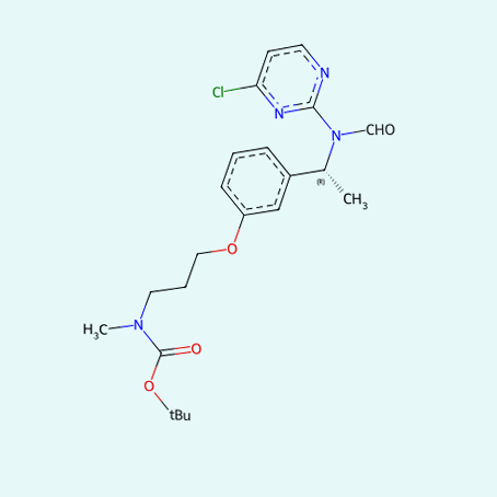 C[C@H](c1cccc(OCCCN(C)C(=O)OC(C)(C)C)c1)N(C=O)c1nccc(Cl)n1